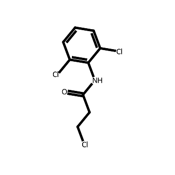 O=C(CCCl)Nc1c(Cl)cccc1Cl